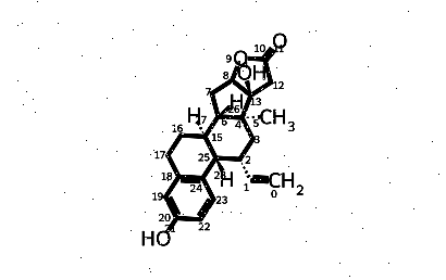 C=C[C@H]1C[C@@]2(C)[C@@H](CC3OC(=O)C[C@@]32O)[C@@H]2CCc3cc(O)ccc3[C@H]21